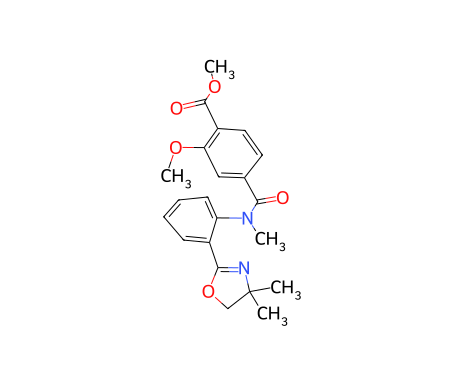 COC(=O)c1ccc(C(=O)N(C)c2ccccc2C2=NC(C)(C)CO2)cc1OC